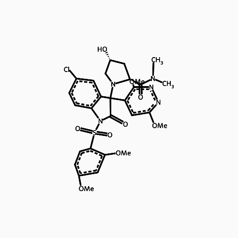 COc1ccc(S(=O)(=O)N2C(=O)C(c3cc(OC)nnc3OC)(N3C[C@H](O)C[C@H]3C(=O)N(C)C)c3cc(Cl)ccc32)c(OC)c1